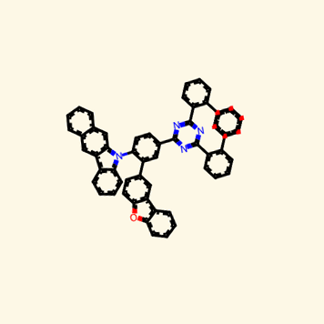 c1ccc(-c2ccccc2-c2nc(-c3ccc(-n4c5ccccc5c5cc6ccccc6cc54)c(-c4ccc5oc6ccccc6c5c4)c3)nc(-c3ccccc3-c3ccccc3)n2)cc1